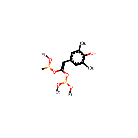 CCOP(C)O/C(=C/c1cc(C(C)(C)C)c(O)c(C(C)(C)C)c1)OP(OCC)OCC